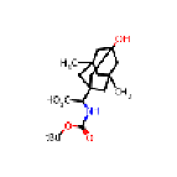 CC12CC3(C)CC(O)(C1)CC(C(NC(=O)OC(C)(C)C)C(=O)O)(C2)C3